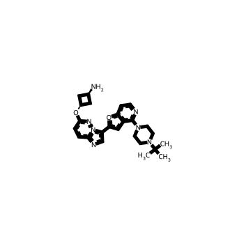 CC(C)(C)N1CCN(c2nccc3oc(-c4cnc5ccc(O[C@H]6C[C@H](N)C6)nn45)cc23)CC1